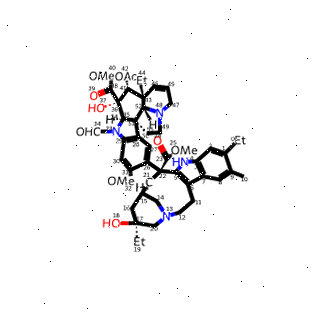 CCc1cc2[nH]c3c(c2cc1C)CCN1C[C@H](C[C@@](O)(CC)C1)C[C@]3(C(=O)OC)c1cc2c(cc1OC)N(C=O)[C@H]1[C@@](O)(C(=O)OC)[C@H](OC(C)=O)[C@]3(CC)C=CCN4CC[C@]21[C@@H]43